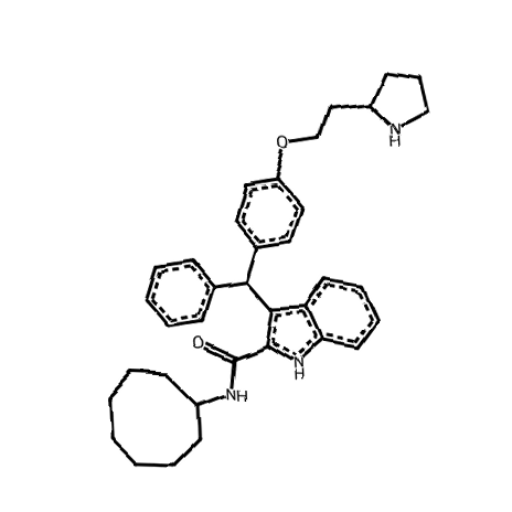 O=C(NC1CCCCCCC1)c1[nH]c2ccccc2c1C(c1ccccc1)c1ccc(OCCC2CCCN2)cc1